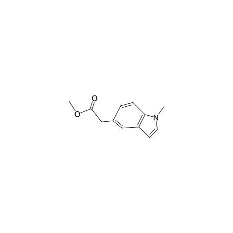 COC(=O)Cc1ccc2c(ccn2C)c1